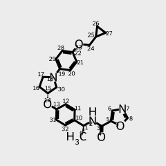 C[C@H](NC(=O)c1cnco1)c1ccc(O[C@@H]2CCN(c3ccc(OCC4CC4)cc3)C2)cc1